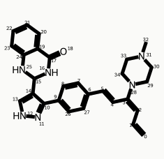 C=C/C=C(\C=C\c1ccc(-c2n[nH]cc2C2NC(=O)c3ccccc3N2)cc1)N1CCN(C)CC1